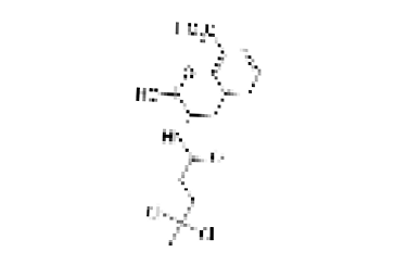 CC(Cl)(Cl)CCC(=O)N[C@H]1Cc2cccc(C(=O)O)c2OB1O